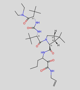 C=CCNC(=O)C(=O)C(CCC)NC(=O)[C@@H]1[C@@H]2[C@H](CN1C(=O)[C@@H](NC(=O)N[C@H](C(=O)N(CC)CC)C(C)(C)C)C(C)(C)C)C2(C)C